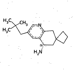 CC(C)(C)Cc1cnc2c(c1)[C@@H](N)CC1(CCC1)C2